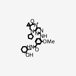 COc1cc(C(=O)NC[C@@H]2CCCC[C@@H]2O)ccc1Nc1ncc2c(n1)N(C1CCCC1)CC1(CC1)C(=O)N2C